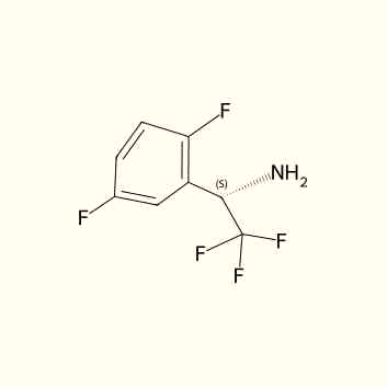 N[C@@H](c1cc(F)ccc1F)C(F)(F)F